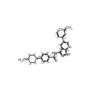 C=C/C=C(\C=C/C)c1cnc2[nH]nc(NC(=O)c3ccc(N4CCN(C)CC4)cc3)c2c1